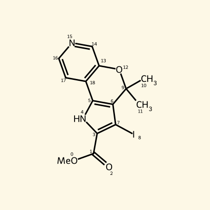 COC(=O)c1[nH]c2c(c1I)C(C)(C)Oc1cnccc1-2